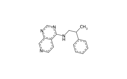 CC(CNc1ncnc2cnccc12)c1ccccc1